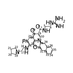 N=C(N)NCCNC(=O)c1cn2c3c(c(NCCN4CCCC4)c(F)cc3c1=O)Oc1cc3ccccc3cc1-2